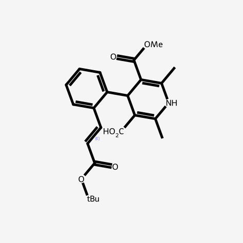 COC(=O)C1=C(C)NC(C)=C(C(=O)O)C1c1ccccc1/C=C/C(=O)OC(C)(C)C